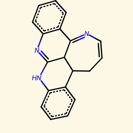 C1=CN=C2c3ccccc3N=C3Nc4ccccc4C(C1)C32